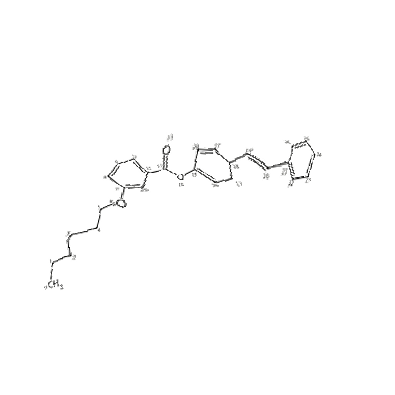 CCCCCCOc1cccc(C(=O)OC2=CCC(/C=C/c3ccccc3)C=C2)c1